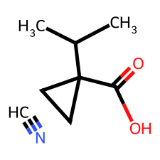 C#N.CC(C)C1(C(=O)O)CC1